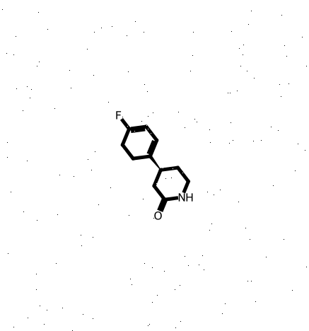 O=C1C[C@@H](C2=CC=C(F)CC2)CCN1